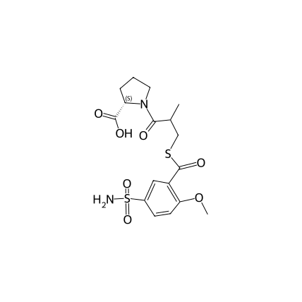 COc1ccc(S(N)(=O)=O)cc1C(=O)SCC(C)C(=O)N1CCC[C@H]1C(=O)O